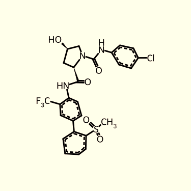 CS(=O)(=O)c1ccccc1-c1ccc(NC(=O)[C@H]2C[C@@H](O)CN2C(=O)Nc2ccc(Cl)cc2)c(C(F)(F)F)c1